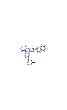 Cc1cncc(-c2cc(C(=O)N[C@H](C)c3ccc4ccccc4c3)c(N3CCOCC3)nn2)c1